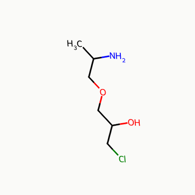 CC(N)COCC(O)CCl